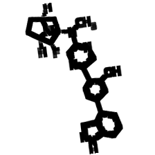 CN(c1cnc(-c2ccc(-c3cccc4[nH]ncc34)cc2O)cn1)[C@H]1C[C@@H]2CC[C@@H](N2)[C@H]1F